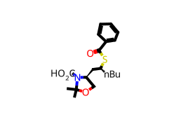 CCCC[C@@H](C[C@H]1COC(C)(C)N1C(=O)O)SC(=O)c1ccccc1